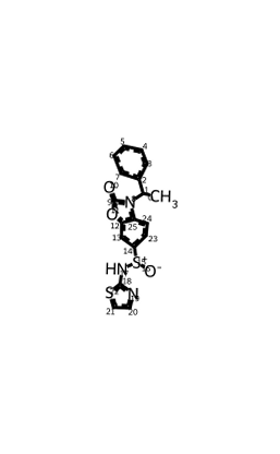 CC(c1ccccc1)n1c(=O)oc2cc([S+]([O-])Nc3nccs3)ccc21